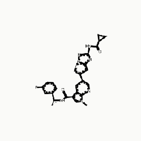 C[C@H](NC(=O)c1cn(C)c2ncc(-c3ccn4nc(NC(=O)C5CC5)nc4c3)cc12)c1cccc(F)c1